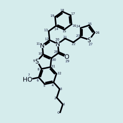 CCCCc1cc(O)c2sc3nc(Cc4ccccc4)n(CCc4cccs4)c(=O)c3c2c1